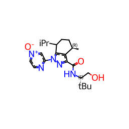 CC(C)C1CC[C@@H](C)c2c(C(=O)N[C@H](CO)C(C)(C)C)nn(-c3c[n+]([O-])ccn3)c21